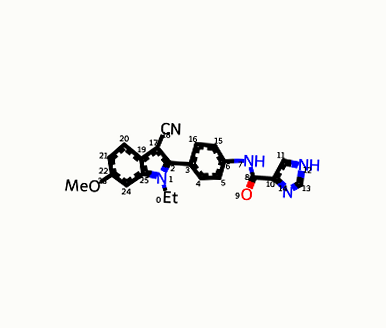 CCn1c(-c2ccc(NC(=O)c3c[nH]cn3)cc2)c(C#N)c2ccc(OC)cc21